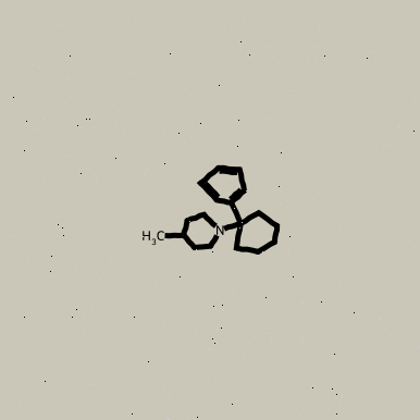 CC1CCN(C2(c3ccccc3)CCCCC2)CC1